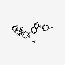 Cc1cc2c(cnn2-c2ccc(F)cc2)cc1[C@H]1CN(S(=O)(=O)c2nccs2)CCN1CC(C)C